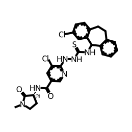 CN1CC[C@@H](NC(=O)c2cnc(NNC(=S)NC3c4ccccc4CCc4ccc(Cl)cc43)c(Cl)c2)C1=O